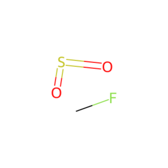 CF.O=S=O